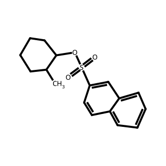 CC1CCCCC1OS(=O)(=O)c1ccc2ccccc2c1